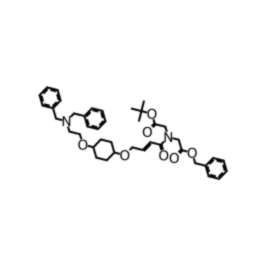 CC(C)(C)OC(=O)CN(CC(=O)OCc1ccccc1)C(=O)/C=C/COC1CCC(OCCN(Cc2ccccc2)Cc2ccccc2)CC1